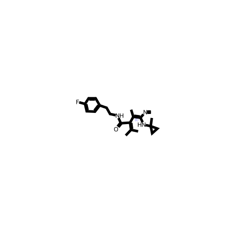 C=N/C(NC1(C)CC1)=C(\C)C(C(=O)NCCc1ccc(F)cc1)=C(C)C